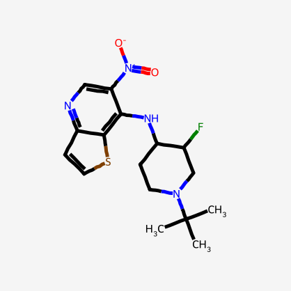 CC(C)(C)N1CCC(Nc2c([N+](=O)[O-])cnc3ccsc23)C(F)C1